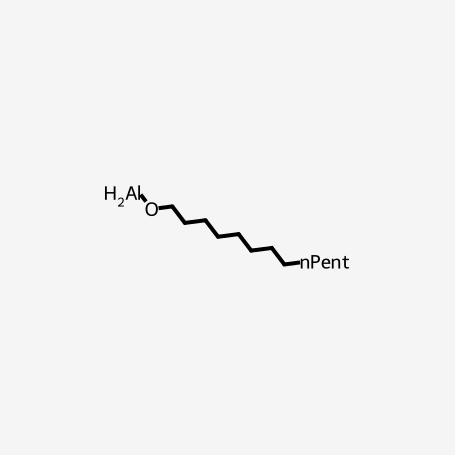 CCCCCCCCCCCCC[O][AlH2]